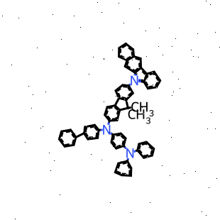 CC1(C)c2cc(N(c3ccc(-c4ccccc4)cc3)c3ccc(N(c4ccccc4)c4ccccc4)cc3)ccc2-c2ccc(-n3c4ccccc4c4cc5ccccc5cc43)cc21